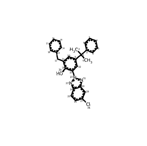 CC(C)(c1ccccc1)c1cc(Cc2ccccc2)c(O)c(-n2nc3ccc(Cl)cc3n2)c1